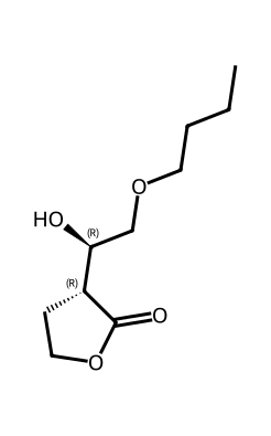 CCCCOC[C@H](O)[C@H]1CCOC1=O